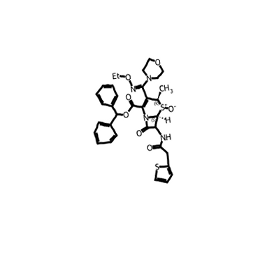 CCON=C(C1=C(C(=O)OC(c2ccccc2)c2ccccc2)N2C(=O)C(NC(=O)Cc3cccs3)[C@@H]2[S+]([O-])[C@@H]1C)N1CCOCC1